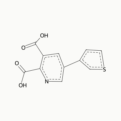 O=C(O)c1cc(-c2ccsc2)cnc1C(=O)O